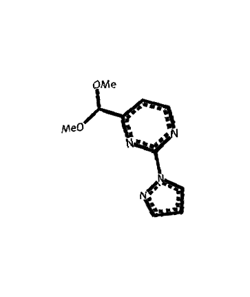 COC(OC)c1ccnc(-n2cccn2)n1